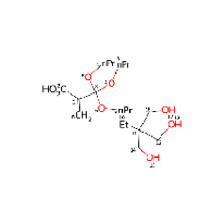 C=C(C(=O)O)C(OCCC)(OCCC)OCCC.CCC(CO)(CO)CO